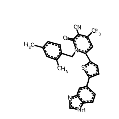 Cc1ccc(Cn2c(-c3ccc(-c4ccc5[nH]cnc5c4)s3)cc(C(F)(F)F)c(C#N)c2=O)c(C)c1